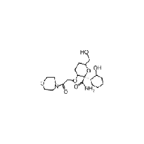 NC(=O)C1([C@H]2CCCC[C@@H]2O)OC(CO)CCC1OCC(=O)N1CCOCC1